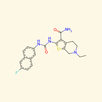 CCN1CCc2c(sc(NC(=O)Nc3ccc4cc(F)ccc4c3)c2C(N)=O)C1